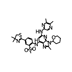 Cc1ncc(Nc2cc(Nc3ccc(C4=NC(C)(C)CS4)cc3S(C)(=O)=O)c3nc(C)n(C4CCCCO4)c3n2)nc1C